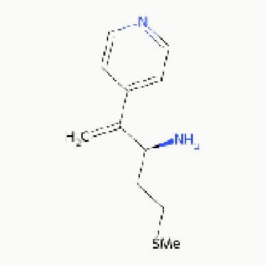 C=C(c1ccncc1)[C@@H](N)CCSC